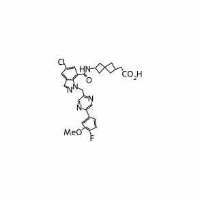 COc1cc(-c2cnc(Cn3ncc4cc(Cl)cc(C(=O)NC5CC6(CC(CC(=O)O)C6)C5)c43)cn2)ccc1F